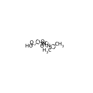 Cc1ccc(C)c(N2CCN(S(=O)(=O)c3cccc(CC(=O)O)c3)CC2)c1